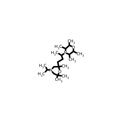 CC1OC(C)C(C)N(C(C)CCC2(C)CN(C(C)C)CC(C)(C)O2)C1C